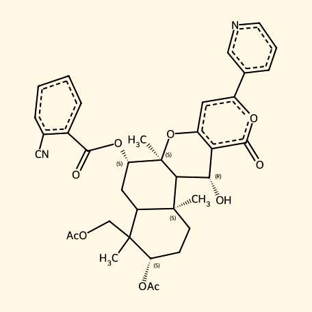 CC(=O)OCC1(C)C2C[C@H](OC(=O)c3ccccc3C#N)[C@@]3(C)Oc4cc(-c5cccnc5)oc(=O)c4[C@H](O)C3[C@@]2(C)CC[C@@H]1OC(C)=O